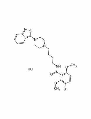 COc1ccc(Br)c(OC)c1C(=O)NCCCCN1CCN(c2snc3ccccc23)CC1.Cl